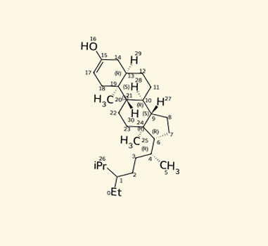 CCC(CC[C@@H](C)[C@H]1CC[C@H]2[C@@H]3CC[C@@H]4CC(O)=CC[C@]4(C)[C@H]3CC[C@]12C)C(C)C